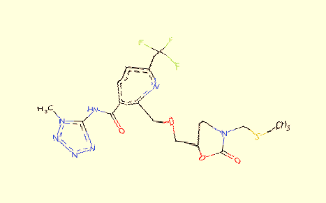 CSCN1CC(COCc2nc(C(F)(F)F)ccc2C(=O)Nc2nnnn2C)OC1=O